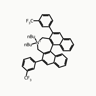 CCCC[N+]1(CCCC)Cc2c(-c3cccc(C(F)(F)F)c3)cc3ccccc3c2-c2c(c(-c3cccc(C(F)(F)F)c3)cc3ccccc23)C1